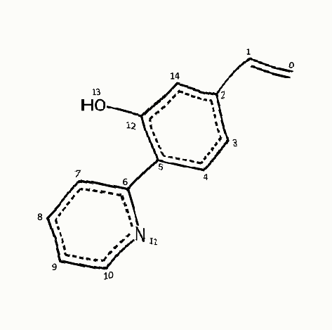 C=Cc1ccc(-c2ccccn2)c(O)c1